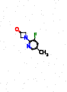 Cc1cnc(N2CC(=O)C2)c(F)c1